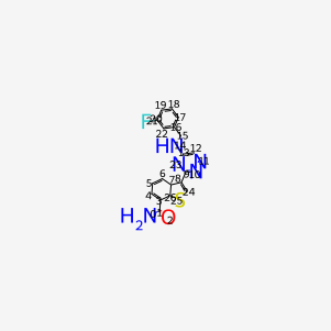 NC(=O)C1=CC=CC2C(c3nncc(NCc4cccc(F)c4)n3)=CSC12